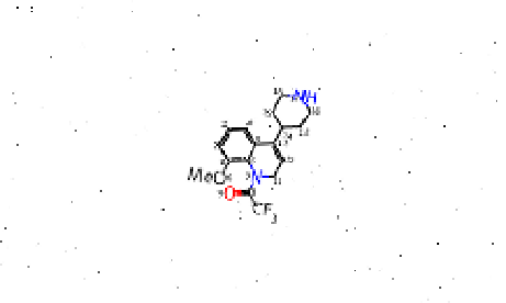 COc1cccc2c1N(C(=O)C(F)(F)F)CC=C2C1CCNCC1